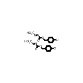 O=C(O)/N=N/C(=O)OCc1ccc(Cl)cc1.O=C(O)/N=N/C(=O)OCc1ccc(Cl)cc1